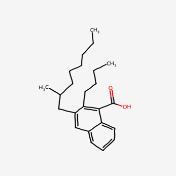 CCCCCCC(C)Cc1cc2ccccc2c(C(=O)O)c1CCCC